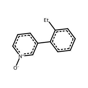 CCc1ccccc1-c1ccc[n+]([O-])c1